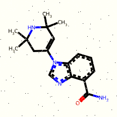 CC1(C)C=C(n2cnc3c(C(N)=O)cccc32)CC(C)(C)N1